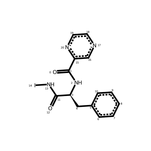 O=C(N[C@@H](Cc1ccccc1)C(=O)NI)c1cnccn1